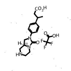 CC(CC(=O)O)c1ccc(N2C[C@@H]3CNCCN3C2=O)cc1.O=C(O)C(F)(F)F